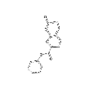 O=C(Oc1ccccc1)c1ccc2ccc(=O)oc2c1